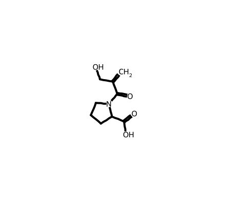 C=C(CO)C(=O)N1CCCC1C(=O)O